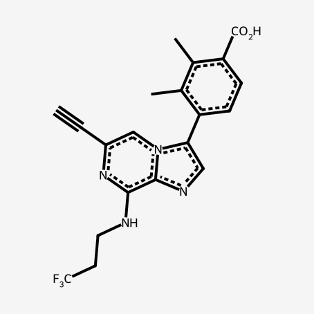 C#Cc1cn2c(-c3ccc(C(=O)O)c(C)c3C)cnc2c(NCCC(F)(F)F)n1